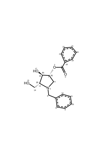 O=C(O[C@@H]1CN(Cc2ccccc2)[C@H](CO)[C@H]1O)c1ccccc1